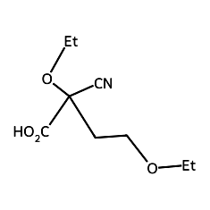 CCOCCC(C#N)(OCC)C(=O)O